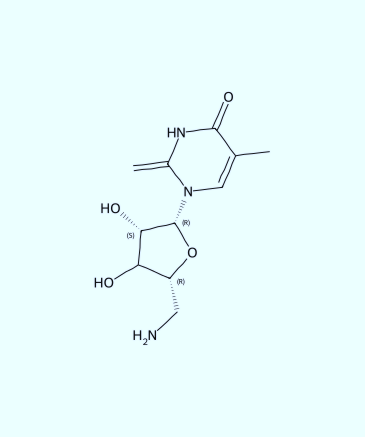 C=C1NC(=O)C(C)=CN1[C@@H]1O[C@H](CN)C(O)[C@@H]1O